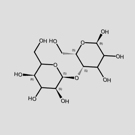 OCC1O[C@@H](O[C@H]2C(O)C(O)[C@H](O)O[C@H]2CO)[C@@H](O)C(O)[C@H]1O